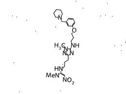 CNC(=C[N+](=O)[O-])NCCCc1nc(NCCCOc2cccc(CN3CCCCC3)c2)n(C)n1